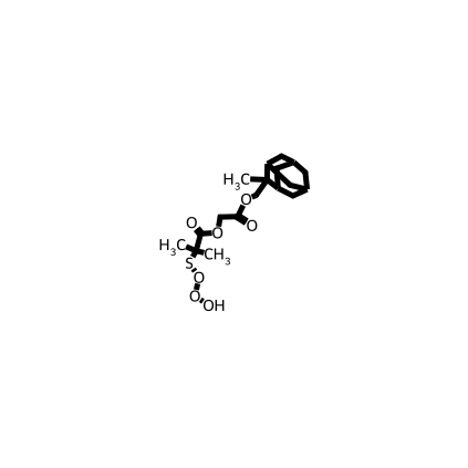 CC(C)(SOOO)C(=O)OCC(=O)OCC1(C)C2CC3CC(C2)CC1C3